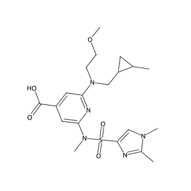 COCCN(CC1CC1C)c1cc(C(=O)O)cc(N(C)S(=O)(=O)c2cn(C)c(C)n2)n1